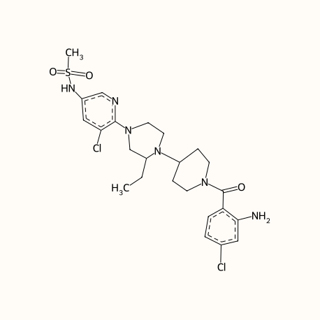 CCC1CN(c2ncc(NS(C)(=O)=O)cc2Cl)CCN1C1CCN(C(=O)c2ccc(Cl)cc2N)CC1